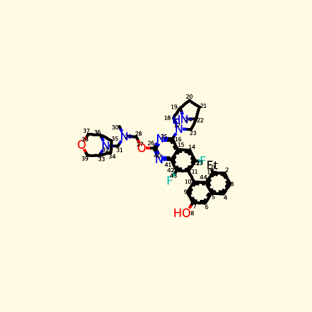 CCc1cccc2cc(O)cc(-c3c(F)cc4c(N5CC6CCC(C5)N6)nc(OCN(C)CN5C6CCC5COC6)nc4c3F)c12